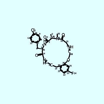 C[C@@H]1C(=O)N[C@H](Cc2ccc(Cl)cc2)C(=O)NCCCc2ccc(F)cc2OCCNCC(=O)N1C